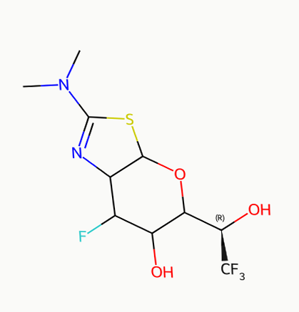 CN(C)C1=NC2C(OC([C@@H](O)C(F)(F)F)C(O)C2F)S1